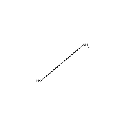 NCCCCCCCCCCCCCCCCCCCCCCCCCCCCCCCCCCCCCCS